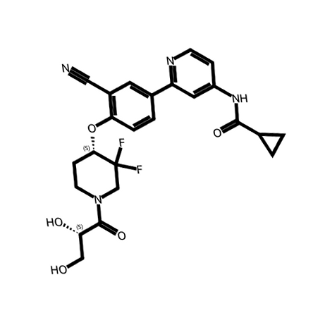 N#Cc1cc(-c2cc(NC(=O)C3CC3)ccn2)ccc1O[C@H]1CCN(C(=O)[C@@H](O)CO)CC1(F)F